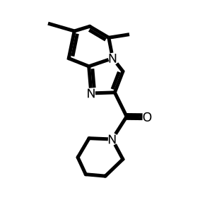 Cc1cc(C)n2cc(C(=O)N3CCCCC3)nc2c1